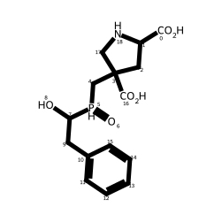 O=C(O)C1CC(C[PH](=O)C(O)Cc2ccccc2)(C(=O)O)CN1